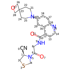 N#C[C@@H]1CSCN1C(=O)CNC(=O)c1ccnc2ccc(N3CCC4(CC3)COC4)cc12